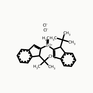 [CH2]=[Zr+2]([C]1=Cc2ccccc2C1C(C)(C)C)[C]1=Cc2ccccc2C1C(C)(C)C.[Cl-].[Cl-]